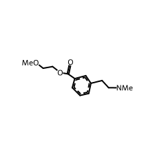 CNCCc1cccc(C(=O)OCCOC)c1